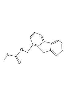 C[N]C(=O)OCc1cccc2c1Cc1ccccc1-2